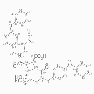 CCSCCN(Cc1ccc(Oc2ccccc2)cc1)C(=O)[C@H]1[C@H](C(=O)O)[C@H](C(=O)N(CCSCC)Cc2ccc(Oc3ccccc3)cc2)[C@H]1C(=O)O